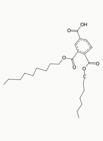 CCCCCCCCCOC(=O)c1cc(C(=O)O)ccc1C(=O)OCCCCCCC